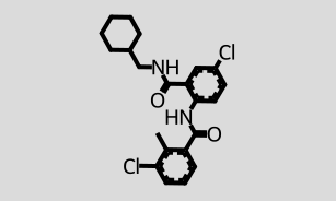 Cc1c(Cl)cccc1C(=O)Nc1ccc(Cl)cc1C(=O)NCC1CCCCC1